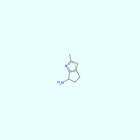 Cc1nc2c(s1)CCC2N